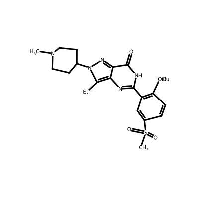 CCc1c2nc(-c3cc(S(C)(=O)=O)ccc3OCC(C)C)[nH]c(=O)c2nn1C1CCN(C)CC1